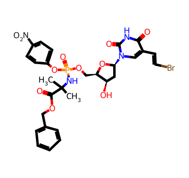 CC(C)(NP(=O)(OC[C@H]1O[C@@H](n2cc(/C=C/Br)c(=O)[nH]c2=O)C[C@H]1O)Oc1ccc([N+](=O)[O-])cc1)C(=O)OCc1ccccc1